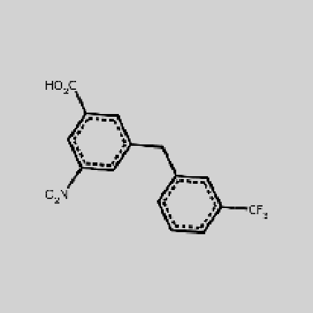 O=C(O)c1cc(Cc2cccc(C(F)(F)F)c2)cc([N+](=O)[O-])c1